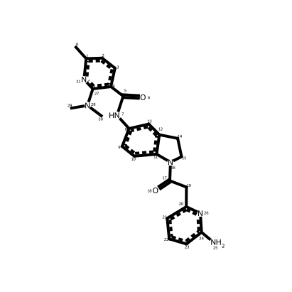 Cc1ccc(C(=O)Nc2ccc3c(c2)CCN3C(=O)Cc2cccc(N)n2)c(N(C)C)n1